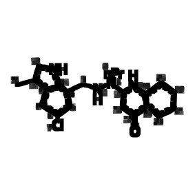 CCCN(NCc1cc(Cl)cc2c(C)c[nH]c12)c1cc(=O)c2ccccc2[nH]1